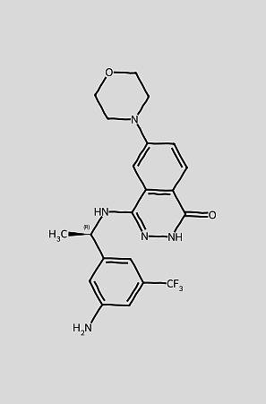 C[C@@H](Nc1n[nH]c(=O)c2ccc(N3CCOCC3)cc12)c1cc(N)cc(C(F)(F)F)c1